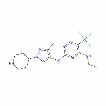 CCNc1nc(Nc2cn(C3CCNCC3F)nc2C)ncc1C(F)(F)F